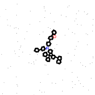 c1ccc(-c2ccc(N(c3ccc(-c4ccc5c(c4)oc4ccccc45)cc3)c3ccc4c(c3)C(c3ccccc3)(c3ccccc3)c3ccc(-c5cccc6ccccc56)cc3-4)cc2)cc1